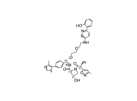 Cc1cc([C@@H](C(=O)N2C[C@H](O)C[C@H]2C(=O)N[C@@H](COCCOCCNc2ccc(-c3ccccc3O)nn2)c2ccc(-c3scnc3C)cc2)C(C)C)on1